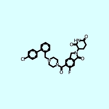 O=C1CCC(N2Cc3cc(C(=O)N4CCN(Cc5ccccc5-c5ccc(Cl)cc5)CC4)c(F)cc3C2=O)C(=O)N1